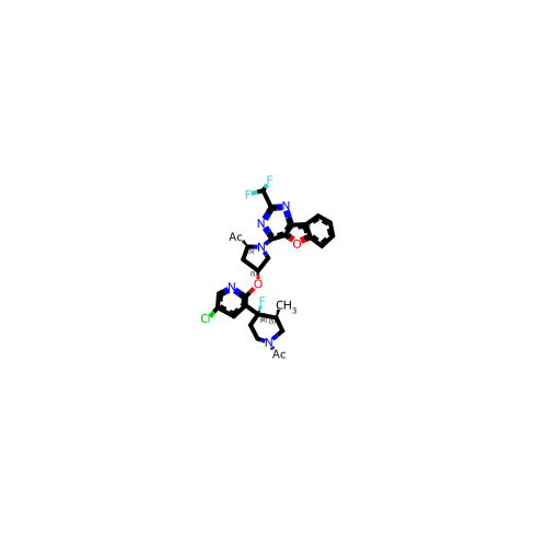 CC(=O)[C@@H]1C[C@H](Oc2ncc(Cl)cc2[C@@]2(F)CCN(C(C)=O)C[C@@H]2C)CN1c1nc(C(F)F)nc2c1oc1ccccc12